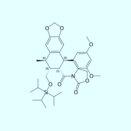 COc1cc(OC)cc([C@@H]2c3cc4c(cc3[C@H](C)[C@@H](CO[Si](C(C)C)(C(C)C)C(C)C)[C@H]2C(=O)N2CCOC2=O)OCO4)c1